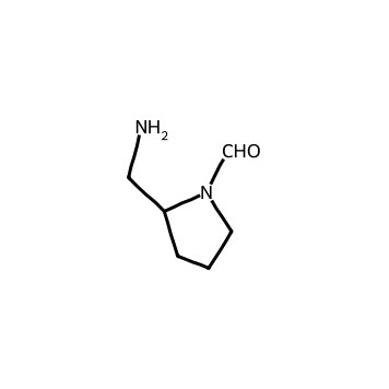 NCC1CCCN1C=O